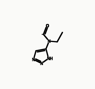 CCN([C]=O)c1cnn[nH]1